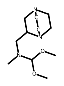 COC(OC)N(C)CC1CN2CCN1CC2